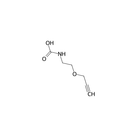 C#CCOCCNC(=O)O